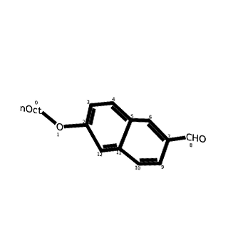 CCCCCCCCOc1ccc2cc(C=O)ccc2c1